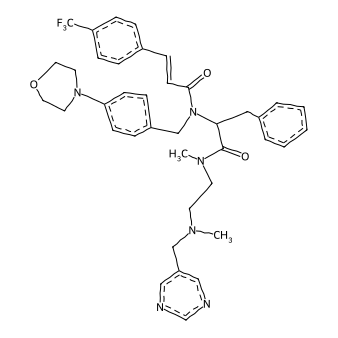 CN(CCN(C)C(=O)C(Cc1ccccc1)N(Cc1ccc(N2CCOCC2)cc1)C(=O)C=Cc1ccc(C(F)(F)F)cc1)Cc1cncnc1